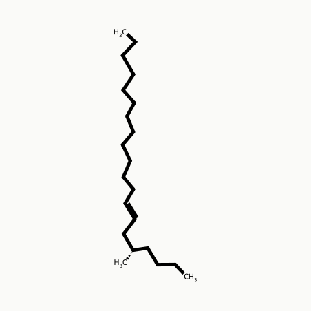 CCCCCCCCCCCCC=CC[C@@H](C)CCCC